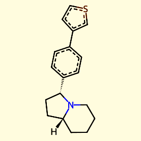 c1cc(-c2ccc([C@H]3CC[C@H]4CCCCN43)cc2)cs1